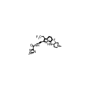 CN1CC[C@@H](Nc2cccc3c(CC(F)(F)F)c(C#CCNC(=O)c4ncn(C)n4)nn23)[C@@H](F)C1